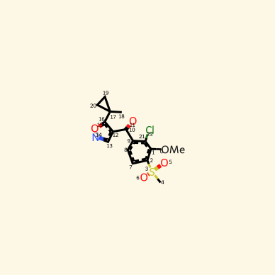 COc1c(S(C)(=O)=O)ccc(C(=O)c2cnoc2C2(C)CC2)c1Cl